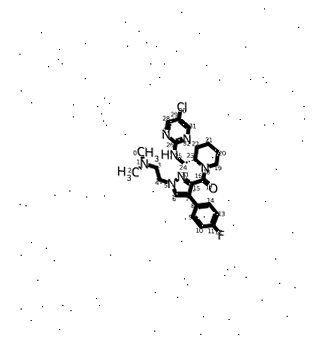 CN(C)CCn1cc(-c2ccc(F)cc2)c(C(=O)N2CCCC[C@H]2CNc2ncc(Cl)cn2)n1